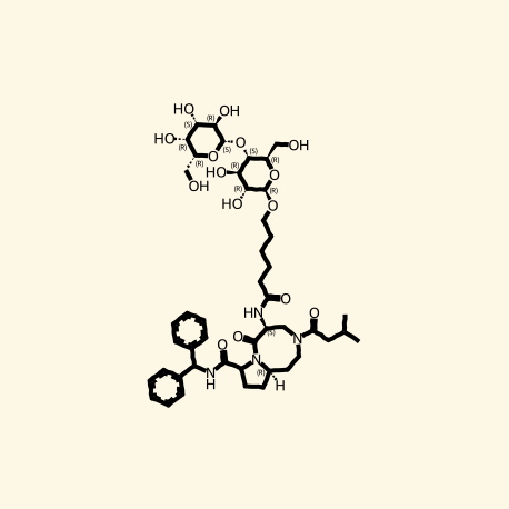 CC(C)CC(=O)N1CC[C@H]2CCC(C(=O)NC(c3ccccc3)c3ccccc3)N2C(=O)[C@@H](NC(=O)CCCCCO[C@@H]2O[C@H](CO)[C@@H](O[C@@H]3O[C@H](CO)[C@H](O)[C@H](O)[C@H]3O)[C@H](O)[C@H]2O)C1